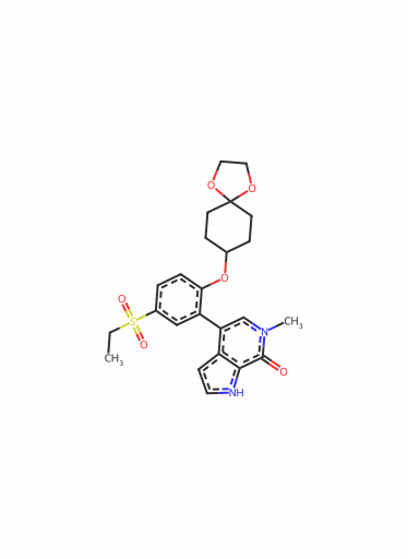 CCS(=O)(=O)c1ccc(OC2CCC3(CC2)OCCO3)c(-c2cn(C)c(=O)c3[nH]ccc23)c1